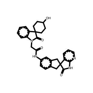 O=C(CN1C(=O)C2(CCC(O)CC2)c2ccccc21)Nc1ccc2c(c1)CC1(C2)C(=O)Nc2ncccc21